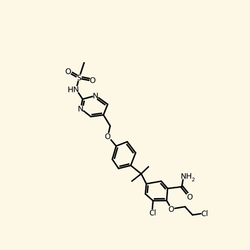 CC(C)(c1ccc(OCc2cnc(NS(C)(=O)=O)nc2)cc1)c1cc(Cl)c(OCCCl)c(C(N)=O)c1